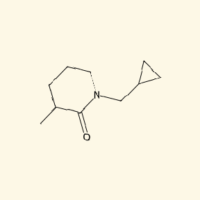 CC1CCCN(CC2CC2)C1=O